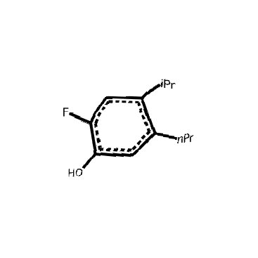 CCCc1cc(O)c(F)cc1C(C)C